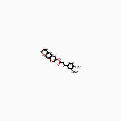 COc1cc(CCC(=O)OC2=COc3cc4c(cc3C2)C=CCO4)ccc1OC(C)=O